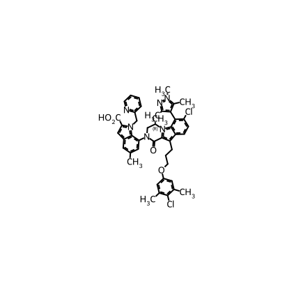 Cc1cc(N2C[C@@H](C)n3c(c(CCCOc4cc(C)c(Cl)c(C)c4)c4ccc(Cl)c(-c5c(C)nn(C)c5C)c43)C2=O)c2c(c1)cc(C(=O)O)n2Cc1ccccn1